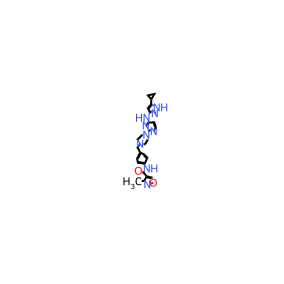 Cc1nocc1C(=O)Nc1ccc(CN2CCN(c3nccc(Nc4cc(C5CC5)[nH]n4)n3)CC2)cc1